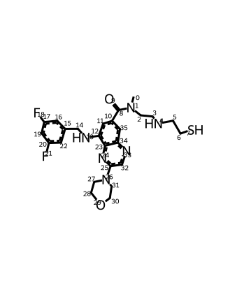 CN(CCNCCS)C(=O)c1cc(NCc2cc(F)cc(F)c2)c2nc(N3CCOCC3)cnc2c1